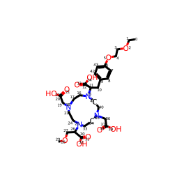 CCOCCOc1ccc(CC(C(=O)O)N2CCN(CC(=O)O)CCN(C(COC)C(=O)O)CCN(CC(=O)O)CC2)cc1